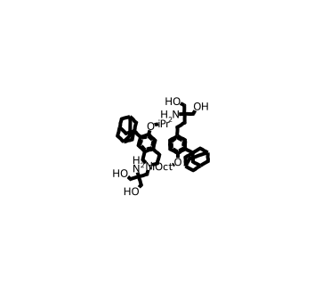 CC(C)Oc1cc2c(cc1C13CC4CC(CC(C4)C1)C3)CN(CC(N)(CO)CO)CC2.CCCCCCCCOc1ccc(CCC(N)(CO)CO)cc1C12CC3CC(CC(C3)C1)C2